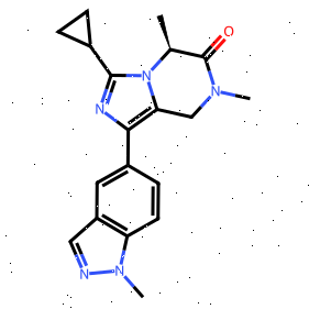 C[C@H]1C(=O)N(C)Cc2c(-c3ccc4c(cnn4C)c3)nc(C3CC3)n21